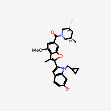 COc1cc(C(=O)N2C[C@H](C)C[C@@H](F)C2)cc2oc(-c3cc4ccc(Br)cc4n3CC3CC3)c(C)c12